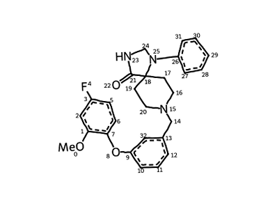 COc1cc(F)ccc1Oc1cccc(CN2CCC3(CC2)C(=O)NCN3c2ccccc2)c1